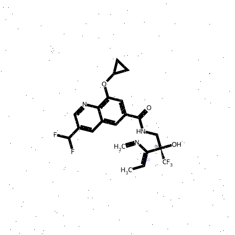 C=N/C(=C\C)[C@@](O)(CNC(=O)c1cc(OC2CC2)c2ncc(C(F)F)cc2c1)C(F)(F)F